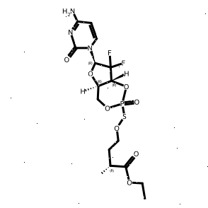 CCOC(=O)[C@H](C)CCOSP1(=O)OC[C@H]2O[C@@H](n3ccc(N)nc3=O)C(F)(F)[C@@H]2O1